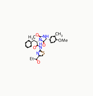 CCC(=O)c1csc(NC(=O)[C@H]([C@@H](C)c2ccccc2)N2C(=O)N[C@H](c3ccc(OC)c(C)c3)C2=O)n1